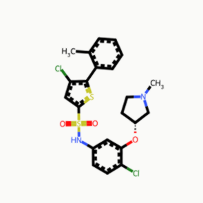 Cc1ccccc1-c1sc(S(=O)(=O)Nc2ccc(Cl)c(O[C@@H]3CCN(C)C3)c2)cc1Cl